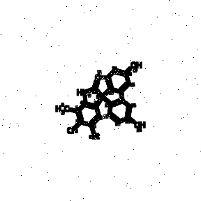 CCc1cc2c(c(C)c1Cl)NC(=O)C2(c1ccc(O)cc1)c1ccc(O)cc1